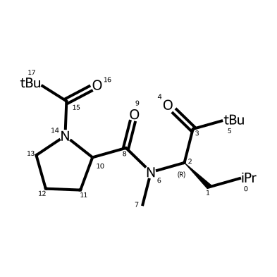 CC(C)C[C@H](C(=O)C(C)(C)C)N(C)C(=O)C1CCCN1C(=O)C(C)(C)C